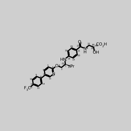 CC(C)[C@@H](COc1ccc(-c2ccc(C(F)(F)F)cc2)cn1)Nc1ccc(C(=O)NC[C@@H](O)C(=O)O)cc1